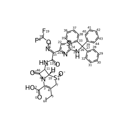 O=C(O)C1=C(CI)C[S+]([O-])[C@H]2C(NC(=O)C(=NOC(F)F)c3csc(NC(c4ccccc4)(c4ccccc4)c4ccccc4)n3)C(=O)N12